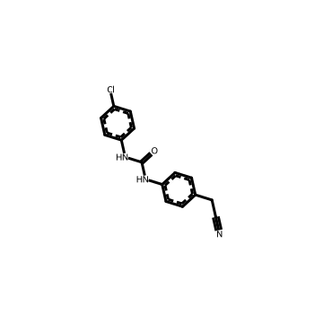 N#CCc1ccc(NC(=O)Nc2ccc(Cl)cc2)cc1